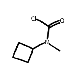 CN(C(=O)Cl)C1CCC1